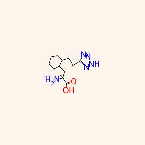 N[C@@H](CC1CCCCC1CCc1nn[nH]n1)C(=O)O